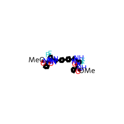 COC(=O)N[C@@H](C(=O)N1CC(F)(F)C[C@H]1c1nc(-c2ccc(-c3ccc(-c4c[nH]c([C@@H]5CC(F)(F)CN5C(=O)[C@H](NC(=O)OC)c5ccccc5)n4)cc3)cc2)c[nH]1)c1ccccc1